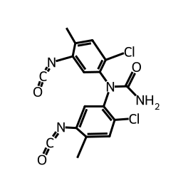 Cc1cc(Cl)c(N(C(N)=O)c2cc(N=C=O)c(C)cc2Cl)cc1N=C=O